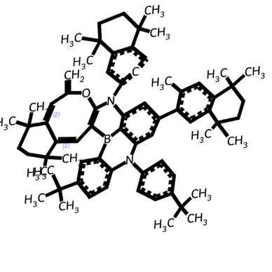 C=C1/C=C2\C(=C/C3=C(O1)N(c1ccc4c(c1)C(C)(C)CCC4(C)C)c1cc(-c4cc5c(cc4C)C(C)(C)CCC5(C)C)cc4c1B3c1cc(C(C)(C)C)ccc1N4c1ccc(C(C)(C)C)cc1)C(C)(C)CCC2(C)C